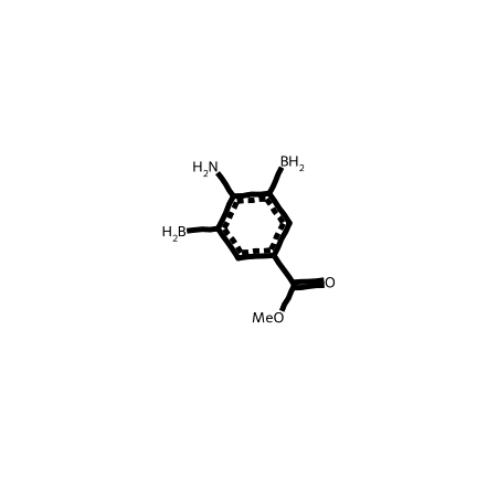 Bc1cc(C(=O)OC)cc(B)c1N